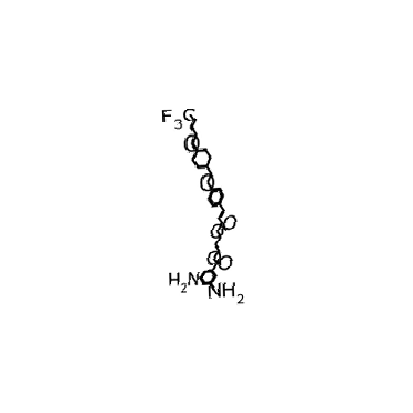 Nc1cc(N)cc(C(=O)OCCCOC(=O)C=Cc2ccc(OCC3CCC(OCCCC(F)(F)F)CC3)cc2)c1